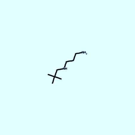 CC(C)(C)CNCCCN